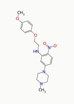 COc1ccc(OCCNc2cc(N3CCN(C)CC3)ccc2[N+](=O)[O-])cc1